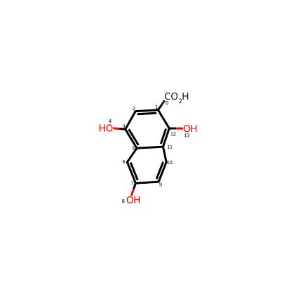 O=C(O)c1cc(O)c2cc(O)ccc2c1O